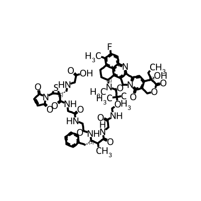 CC[C@@]1(O)C(=O)OCc2c1cc1n(c2=O)Cc2c-1nc1cc(F)c(C)c3c1c2[C@@H](N(C)C(=O)C(C)(C)OCNC(=O)CNC(=O)C(C)[C@H](Cc1ccccc1)NC(=O)CNC(=O)CNC(=O)[C@]1(CNCC(=O)O)SC1N1C(=O)C=CC1=O)CC3